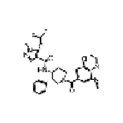 C=Nc1cc(C(=O)N2CC[C@@H](NC(=O)c3cnn(C)c3OC(F)F)[C@@H](c3ccccc3)C2)cc(Cl)c1/N=C\C